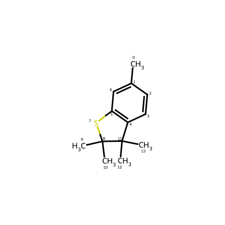 Cc1ccc2c(c1)SC(C)(C)C2(C)C